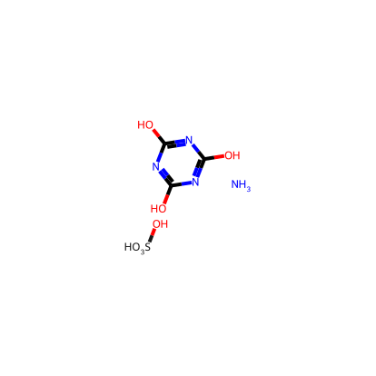 N.O=S(=O)(O)O.Oc1nc(O)nc(O)n1